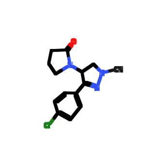 N#CN1CC(N2CCCC2=O)C(c2ccc(Cl)cc2)=N1